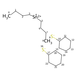 CCC[CH2][Sn+2][CH2]CCC.[S-]C1CCCCC1.[S-]C1CCCCC1